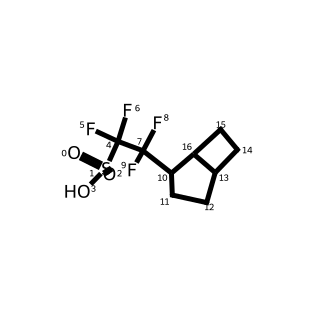 O=S(=O)(O)C(F)(F)C(F)(F)C1CCC2CCC21